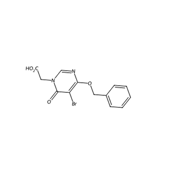 O=C(O)Cn1cnc(OCc2ccccc2)c(Br)c1=O